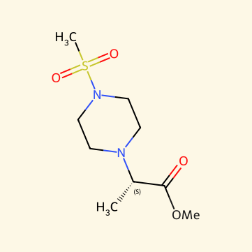 COC(=O)[C@H](C)N1CCN(S(C)(=O)=O)CC1